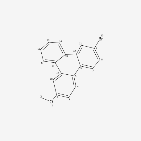 COc1ccc2c3ccc(Br)cc3c3ccccc3c2c1